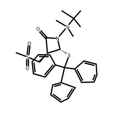 CC(C)(C)[Si](C)(C)N1C(=O)[C@H](CS(C)(=O)=O)[C@H]1SC(c1ccccc1)(c1ccccc1)c1ccccc1